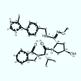 CO/N=C(/NCc1ccc(-c2scnc2C)cc1)[C@@H]1C[C@@H](O)CN1C(=O)[C@H](C(C)C)N1Cc2ccccc2C1=O